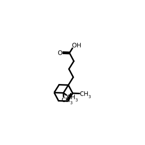 CC1=CCC2CC1(CCCC(=O)O)C2(C)C